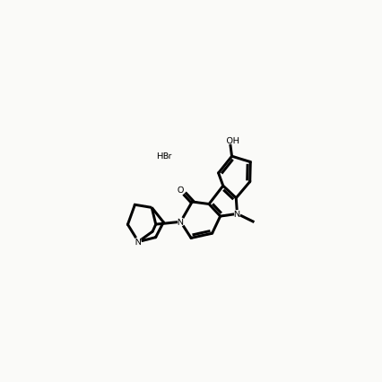 Br.Cn1c2ccc(O)cc2c2c(=O)n(C3CN4CCC3CC4)ccc21